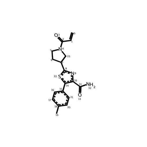 C=CC(=O)N1CCC(c2nc(C(N)=O)c(-c3ccc(C)cc3)s2)C1